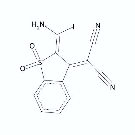 N#CC(C#N)=C1/C(=C(/N)I)S(=O)(=O)c2ccccc21